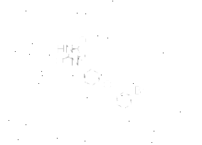 O=c1[nH]c(=O)n(Cc2ccc(OCc3cccc(Br)c3)cc2)o1